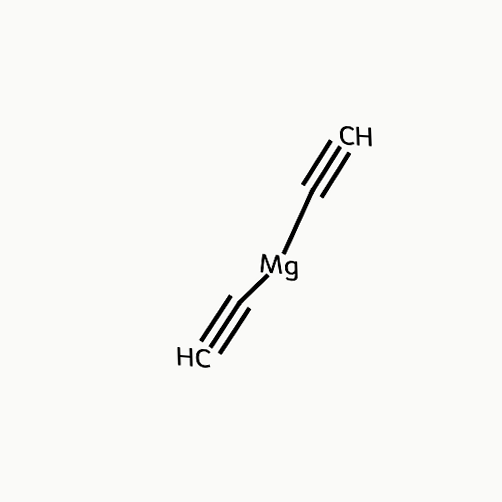 C#[C][Mg][C]#C